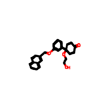 O=C1CCC(OCCO)(c2cccc(OCc3ccc4ccccc4c3)c2)CC1